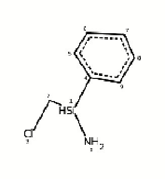 N[SiH](CCl)c1ccccc1